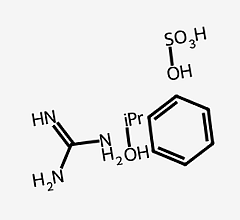 CC(C)O.N=C(N)N.O=S(=O)(O)O.c1ccccc1